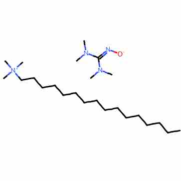 CCCCCCCCCCCCCCCC[N+](C)(C)C.CN(C)C(=N[O-])N(C)C